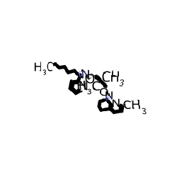 CCCCCC/C(=N/OCC(C)(C)CO/N=C1\CCCc2ccc(C)nc21)c1ccccn1